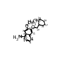 COc1cc2c(N)ncnc2cc1OCC1CCCCN1C